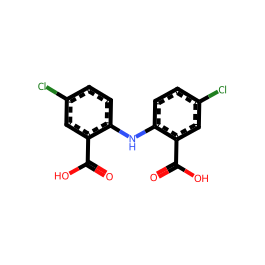 O=C(O)c1cc(Cl)ccc1Nc1ccc(Cl)cc1C(=O)O